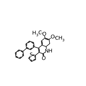 COC1=C(OC)CC2NC(=O)C(c3cccs3)=C(c3cccc(-c4ccccc4)c3)C2=C1